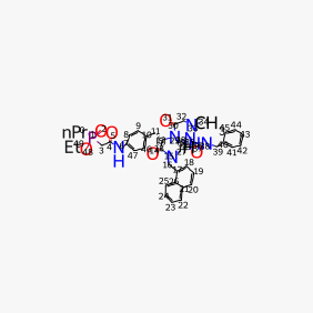 CCCP(=O)(CC(=O)Nc1ccc(C[C@H]2C(=O)N(Cc3cccc4ccccc34)C[C@H]3N2C(=O)CN(C)N3C(=O)NCc2ccccc2)cc1)OCC